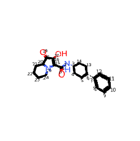 O=C(N[C@H]1CC[C@@H](c2ccccc2)CC1)C1=C(O)C(=O)C2CCCCN12